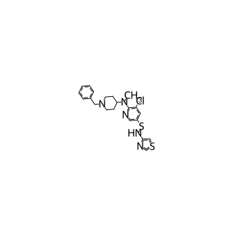 CN(c1ncc(SNc2cscn2)cc1Cl)C1CCN(Cc2ccccc2)CC1